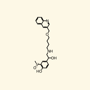 C[S+]([O-])c1cc(C(O)CNCCCCOCc2cnc3ccccc3c2)ccc1O